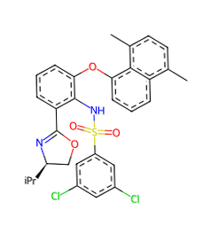 Cc1ccc(C)c2c(Oc3cccc(C4=N[C@H](C(C)C)CO4)c3NS(=O)(=O)c3cc(Cl)cc(Cl)c3)cccc12